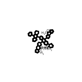 CC1(C)C2=CC(c3c4cc(-c5c6c(c(-c7ccccc7)c7ccccc57)C=CCC6)ccc4c(-c4ccc5c(c4)C(C)(C)c4ccccc4-5)c4cc5c(cc34)[Si](C)(C)C3C=CC=CC53)CC=C2Cc2ccccc21